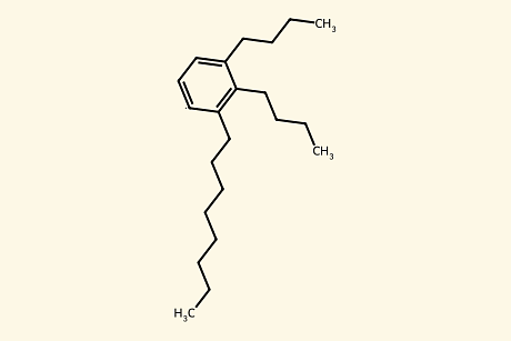 CCCCCCCCc1[c]ccc(CCCC)c1CCCC